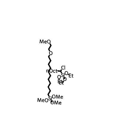 CCCCCCCCC(Cl)[Si](OCC)(OCC)OCC.COCCOCCCCCCCCCCC[Si](OC)(OC)OC